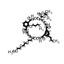 CCCCOc1c2cccc1C(=O)NCCN(C(=O)OC(C)(C)C)CCNC(=O)c1cccc(c1OCCCC)C(=O)NCCN(CCOCCOCCOC)CCNC2=O